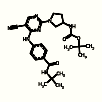 CC(C)(C)NC(=O)c1ccc(Nc2nc(N3CCC(NC(=O)OC(C)(C)C)C3)ncc2C#N)cc1